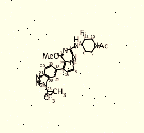 COc1nc(N[C@H]2CCN(C(C)=O)C[C@H]2F)nn2ccc(-c3ccc4nnn([C@@H](C)C(F)(F)F)c4c3)c12